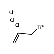 C=C[CH2][Ti+3].[Cl-].[Cl-].[Cl-]